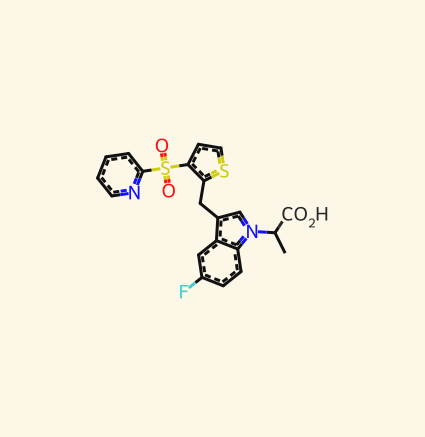 CC(C(=O)O)n1cc(Cc2sccc2S(=O)(=O)c2ccccn2)c2cc(F)ccc21